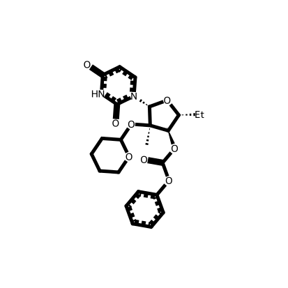 CC[C@H]1O[C@@H](n2ccc(=O)[nH]c2=O)[C@](C)(OC2CCCCO2)[C@@H]1OC(=O)Oc1ccccc1